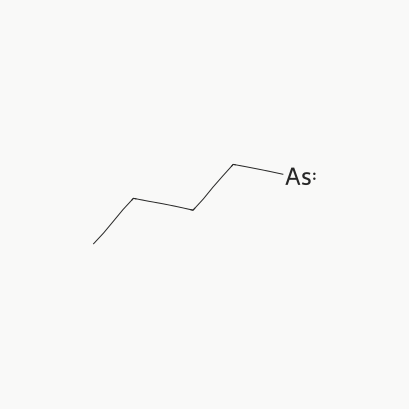 CCCC[As]